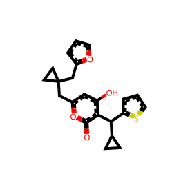 O=c1oc(CC2(Cc3ccco3)CC2)cc(O)c1C(c1cccs1)C1CC1